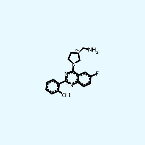 NC[C@@H]1CCN(c2nc(-c3ccccc3O)nc3ccc(F)cc23)C1